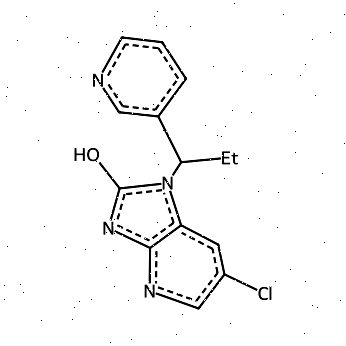 CCC(c1cccnc1)n1c(O)nc2ncc(Cl)cc21